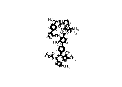 COC(=O)C[C@@H]1N=C(c2ccc(-c3ccc(C(=O)NC(C(=O)N4CCC[C@H]4C(=O)N[C@@H](C)c4ccc(-c5scnc5C)cc4)C(C)(C)C)cc3O)cc2)c2c(sc(C)c2C)-n2c(C)nnc21